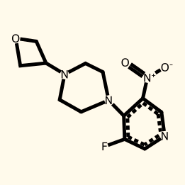 O=[N+]([O-])c1cncc(F)c1N1CCN(C2COC2)CC1